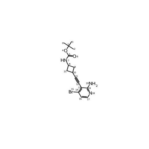 CC(C)(C)OC(=O)NC1CC(C#Cc2c(Br)ccnc2N)C1